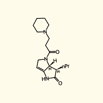 CCC[C@H]1C(=O)NC2=CCN(C(=O)CCN3CCCCC3)[C@@H]21